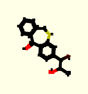 N#CC(O)C(Br)c1ccc2c(c1)SCc1ccccc1C2=O